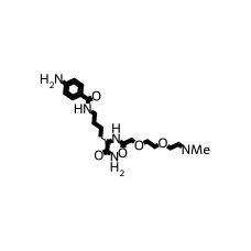 CNCCOCCOCC(=O)N[C@@H](CCCCNC(=O)c1ccc(N)cc1)C(N)=O